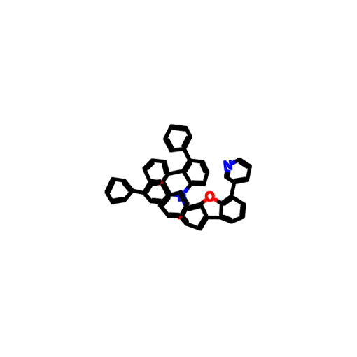 c1ccc(-c2ccc(N(c3cccc(-c4ccccc4)c3-c3ccccc3-c3ccccc3)c3cccc4c3oc3c(-c5cccnc5)cccc34)cc2)cc1